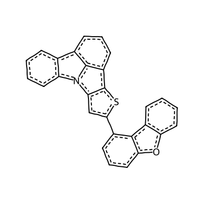 c1ccc2c(c1)oc1cccc(-c3cc4c(s3)c3cccc5c6ccccc6n4c53)c12